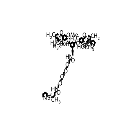 C=C1C[C@H]2[C@H](C)N(B(C)O)c3cc(OCc4cc(C#CCNC(=O)CCOCCOCCOCCOCCNC(=O)CCC(C)SSc5ccccn5)cc(COc5cc6c(cc5C)C(=O)N5CC(=C)C[C@H]5[C@H](OC5CCCCO5)N6B(C)O)c4)c(OC)cc3C(=O)N2C1